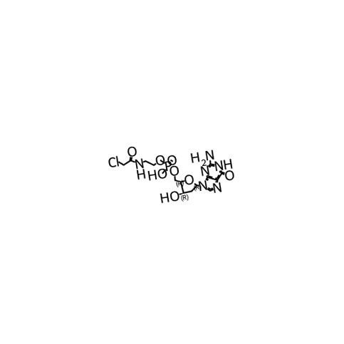 Nc1nc2c(ncn2[C@H]2C[C@@H](O)[C@@H](COP(=O)(O)OCCNC(=O)CCl)O2)c(=O)[nH]1